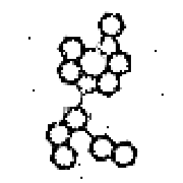 c1ccc2cc(-c3nc(-n4c5ccc6cccc7c6c5c5c6c(ccc8c9ccccc9n7c86)ccc54)nc4ccc5ccccc5c34)ccc2c1